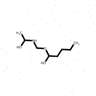 CCCCC(O)OCNC(C)O